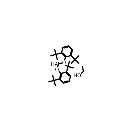 CC(C)(C)c1cccc(C(C)(C)C)c1[O][AlH][O]c1c(C(C)(C)C)cccc1C(C)(C)C.CCO